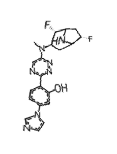 CN(c1cnc(-c2ccc(-n3ccnc3)cc2O)nn1)[C@@H]1CC2NC(C[C@@H]2F)[C@H]1F